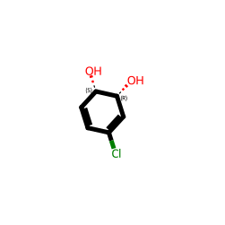 O[C@@H]1C=C(Cl)C=C[C@@H]1O